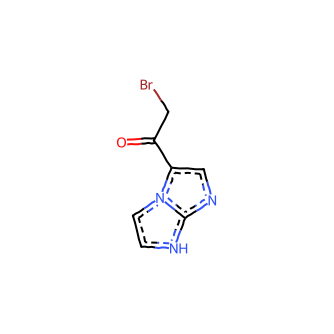 O=C(CBr)c1cnc2[nH]ccn12